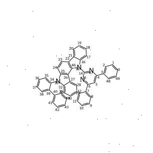 c1ccc(-c2cc(-c3ccccc3)nc(-n3c4ccccc4c4ccc5c(c6ccccc6n5-c5ccccc5-c5ccccc5)c43)n2)cc1